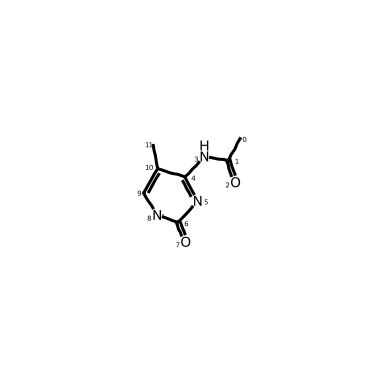 CC(=O)NC1=NC(=O)[N]C=C1C